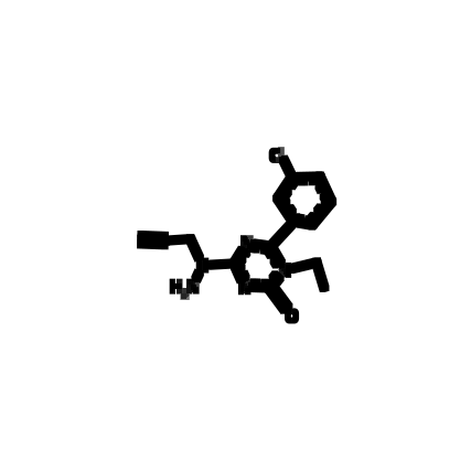 C#CCN(N)c1nc(-c2cccc(Cl)c2)n(CC)c(=O)n1